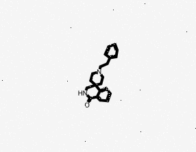 O=C1NCC2(CCN(CCc3ccccc3)CC2)c2ccccc21